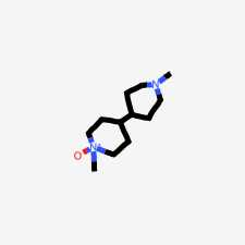 CN1CCC(C2CC[N+](C)([O-])CC2)CC1